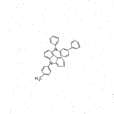 Cc1ccc(-n2c3ccccc3c3c(N(c4ccccc4)c4cccc(-c5ccccc5)c4)cccc32)cc1